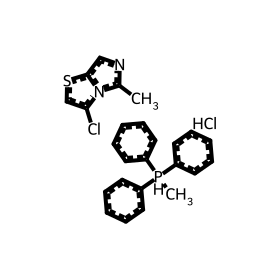 C[PH](c1ccccc1)(c1ccccc1)c1ccccc1.Cc1ncc2scc(Cl)n12.Cl